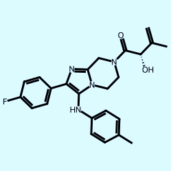 C=C(C)[C@H](O)C(=O)N1CCn2c(nc(-c3ccc(F)cc3)c2Nc2ccc(C)cc2)C1